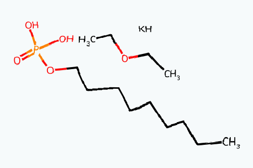 CCCCCCCCCOP(=O)(O)O.CCOCC.[KH]